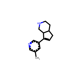 Cc1cncc(C2=CCC3CCNCC23)c1